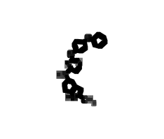 Cc1cc2cc(Nc3ccnc(Oc4ccc(Oc5ccccc5)cc4)n3)ccc2[nH]1